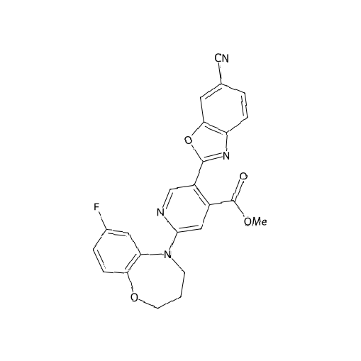 COC(=O)c1cc(N2CCCOc3ccc(F)cc32)ncc1-c1nc2ccc(C#N)cc2o1